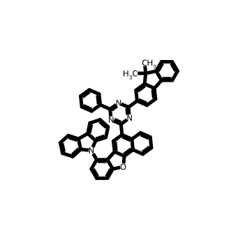 CC1(C)c2ccccc2-c2ccc(-c3nc(-c4ccccc4)nc(-c4cc5c(oc6cccc(-n7c8ccccc8c8ccccc87)c65)c5ccccc45)n3)cc21